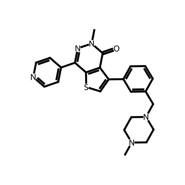 CN1CCN(Cc2cccc(-c3csc4c(-c5ccncc5)nn(C)c(=O)c34)c2)CC1